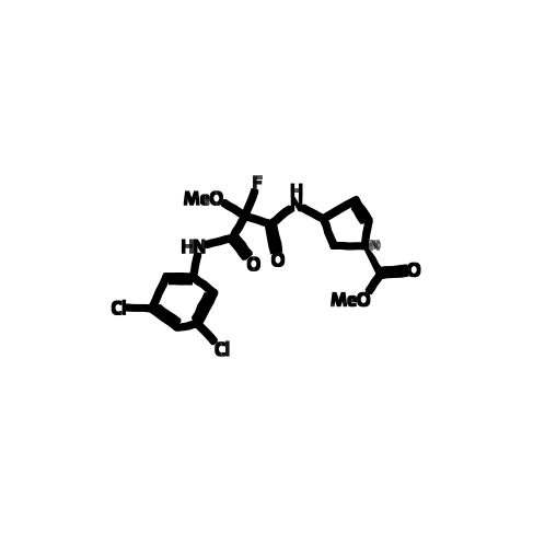 COC(=O)[C@@H]1C=CC(NC(=O)C(F)(OC)C(=O)Nc2cc(Cl)cc(Cl)c2)C1